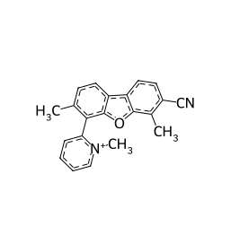 Cc1ccc2c(oc3c(C)c(C#N)ccc32)c1-c1cccc[n+]1C